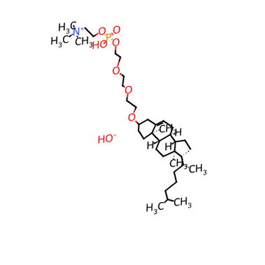 CC(C)CCC[C@@H](C)[C@H]1CC[C@H]2[C@@H]3CC=C4CC(OCCOCCOCCOP(=O)(O)OCC[N+](C)(C)C)CC[C@]4(C)[C@H]3CC[C@]12C.[OH-]